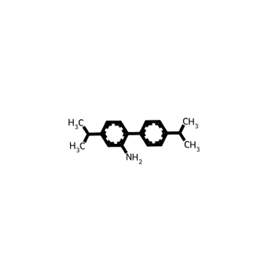 CC(C)c1ccc(-c2ccc(C(C)C)cc2N)cc1